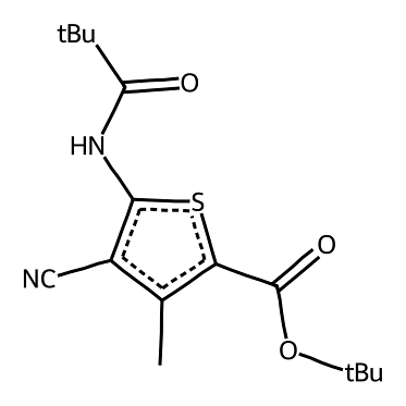 Cc1c(C(=O)OC(C)(C)C)sc(NC(=O)C(C)(C)C)c1C#N